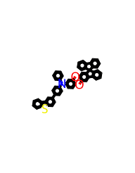 c1ccc(N(c2ccc(-c3ccc4sc5ccccc5c4c3)cc2)c2ccc3c(c2)Oc2cc4c(cc2O3)-c2ccccc2C42c3ccccc3-c3ccccc32)cc1